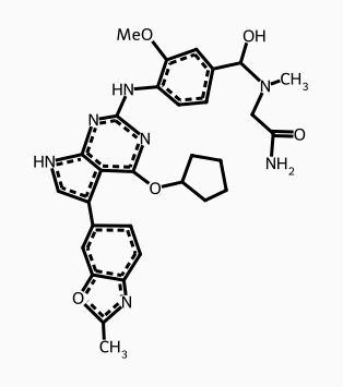 COc1cc(C(O)N(C)CC(N)=O)ccc1Nc1nc(OC2CCCC2)c2c(-c3ccc4nc(C)oc4c3)c[nH]c2n1